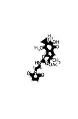 CC(=O)OCC1(C)C=C2C(=O)C(C)(O)C3(CC3)C(C)=C2C1OC(=O)NCCN1C(=O)C=CC1=O